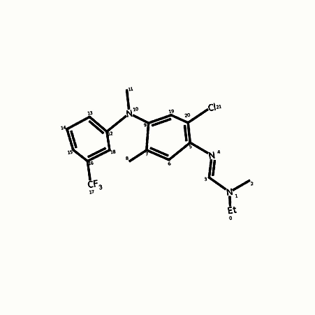 CCN(C)C=Nc1cc(C)c(N(C)c2cccc(C(F)(F)F)c2)cc1Cl